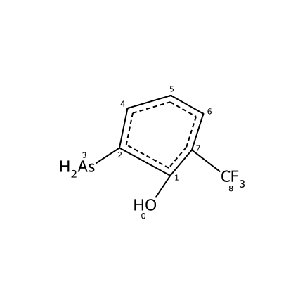 Oc1c([AsH2])cccc1C(F)(F)F